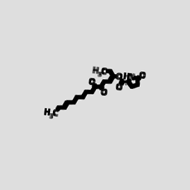 CCC=CCCCCCC(=O)C(=O)CC=C(CC)OC(=O)[C@@H]1CCC(=O)N1